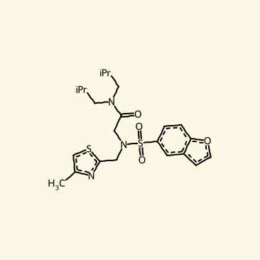 Cc1csc(CN(CC(=O)N(CC(C)C)CC(C)C)S(=O)(=O)c2ccc3occc3c2)n1